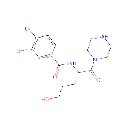 O=C(N[C@@H](CCCO)C(=O)N1CCNCC1)c1ccc(Cl)c(Cl)c1